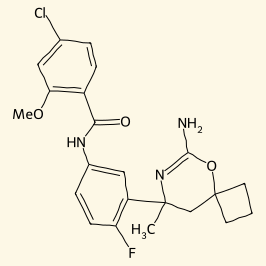 COc1cc(Cl)ccc1C(=O)Nc1ccc(F)c(C2(C)CC3(CCC3)OC(N)=N2)c1